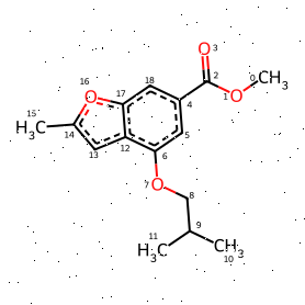 COC(=O)c1cc(OCC(C)C)c2cc(C)oc2c1